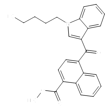 CCCCCn1cc(C(=O)c2ccc(C(=O)OC)c3ccccc23)c2ccccc21